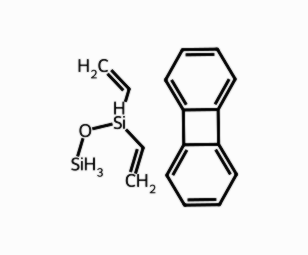 C=C[SiH](C=C)O[SiH3].c1ccc2c(c1)-c1ccccc1-2